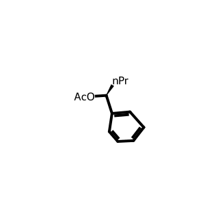 CCC[C@H](OC(C)=O)c1ccccc1